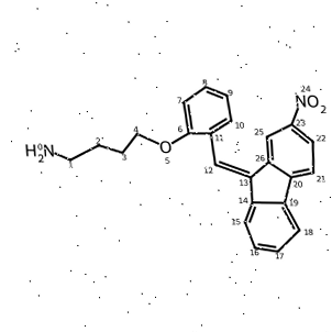 NCCCCOc1ccccc1C=C1c2ccccc2-c2ccc([N+](=O)[O-])cc21